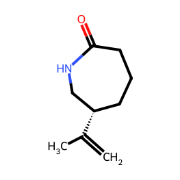 C=C(C)[C@H]1CCCC(=O)NC1